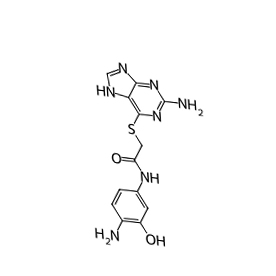 Nc1nc(SCC(=O)Nc2ccc(N)c(O)c2)c2[nH]cnc2n1